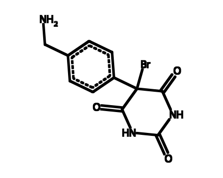 NCc1ccc(C2(Br)C(=O)NC(=O)NC2=O)cc1